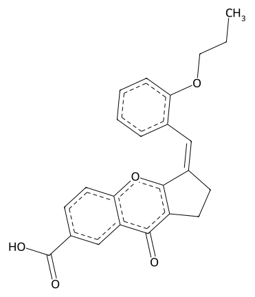 CCCOc1ccccc1/C=C1/CCc2c1oc1ccc(C(=O)O)cc1c2=O